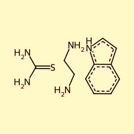 NC(N)=S.NCCN.c1ccc2[nH]ccc2c1